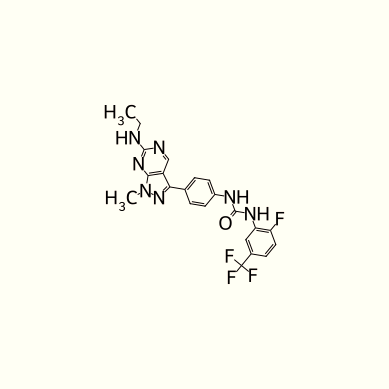 CCNc1ncc2c(-c3ccc(NC(=O)Nc4cc(C(F)(F)F)ccc4F)cc3)nn(C)c2n1